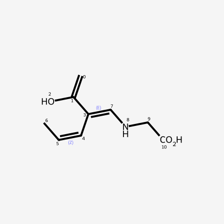 C=C(O)C(/C=C\C)=C/NCC(=O)O